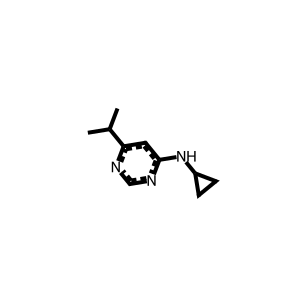 CC(C)c1cc(NC2CC2)ncn1